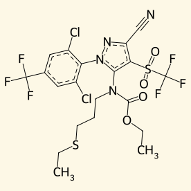 CCOC(=O)N(CCCSCC)c1c(S(=O)(=O)C(F)(F)F)c(C#N)nn1-c1c(Cl)cc(C(F)(F)F)cc1Cl